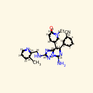 CCn1cc(-c2c(-c3cccc(C#N)c3)nc(N)n3nc(NCc4ncccc4C)nc23)ccc1=O